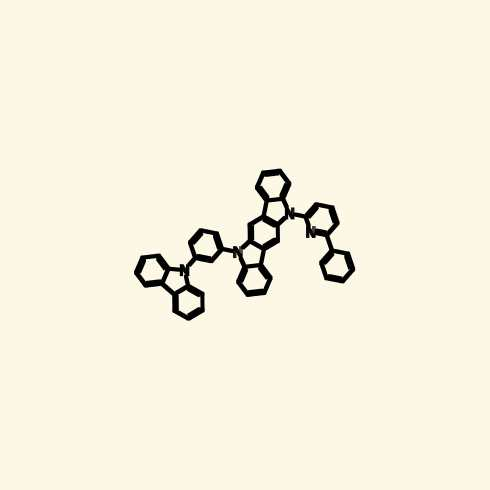 c1ccc(-c2cccc(-n3c4ccccc4c4cc5c(cc43)c3ccccc3n5-c3cccc(-n4c5ccccc5c5ccccc54)c3)n2)cc1